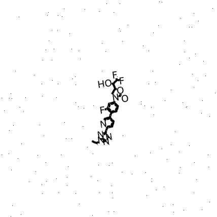 CCn1nnc(-c2ccc(-c3ccc(N4CC(C(O)C(F)F)OC4=O)cc3F)cn2)n1